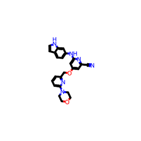 N#Cc1cc(OCc2cccc(N3CCOCC3)n2)cc(Nc2ccc3cc[nH]c3c2)n1